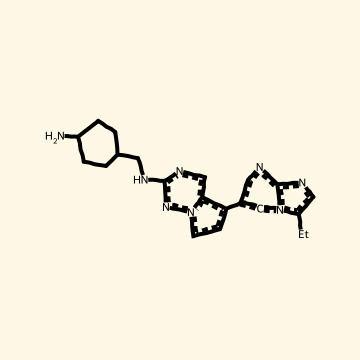 CCc1cnc2ncc(-c3ccn4nc(NCC5CCC(N)CC5)ncc34)cn12